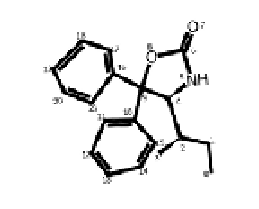 CC[C@@H](C)[C@@H]1NC(=O)OC1(c1ccccc1)c1ccccc1